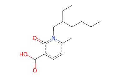 CCCCC(CC)Cn1c(C)ccc(C(=O)O)c1=O